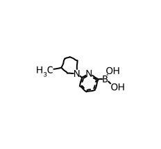 CC1CCCN(c2cccc(B(O)O)n2)C1